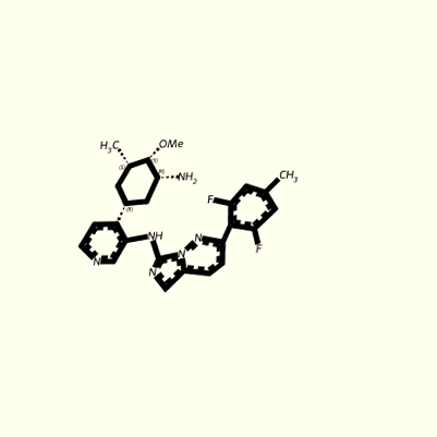 CO[C@@H]1[C@H](N)C[C@H](c2ccncc2Nc2ncc3ccc(-c4c(F)cc(C)cc4F)nn23)C[C@@H]1C